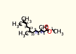 CCOC(=O)/C=C(C)/C=C/CC(C)CCC=C(C)C